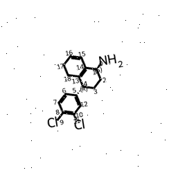 N[C@H]1CC[C@H](c2ccc(Cl)c(Cl)c2)C2=C1C=CCC2